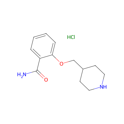 Cl.NC(=O)c1ccccc1OCC1CCNCC1